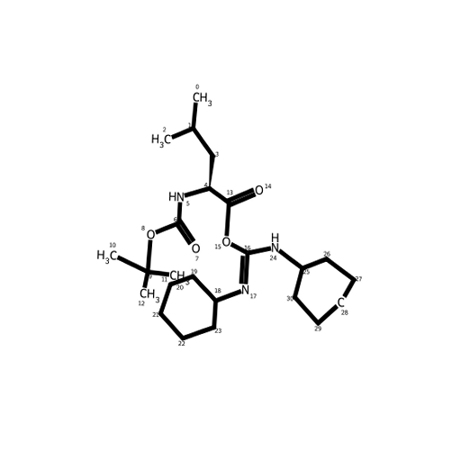 CC(C)C[C@H](NC(=O)OC(C)(C)C)C(=O)O/C(=N\C1CCCCC1)NC1CCCCC1